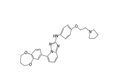 c1cc(-c2ccc3c(c2)OCCCO3)n2nc(Nc3ccc(OCCN4CCCC4)cc3)nc2c1